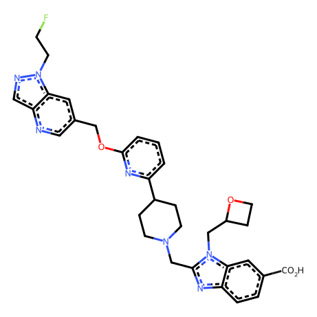 O=C(O)c1ccc2nc(CN3CCC(c4cccc(OCc5cnc6cnn(CCF)c6c5)n4)CC3)n(CC3CCO3)c2c1